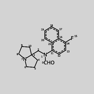 O=CN(CC12CCCN1CCC2)c1ccc(F)c2ccccc12